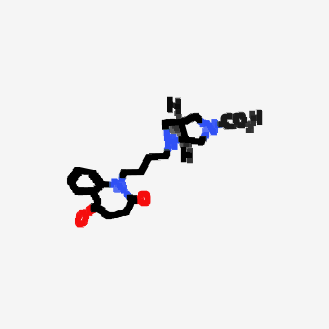 O=C1CCC(=O)N(CCCCN2C[C@H]3CN(C(=O)O)C[C@H]32)c2ccccc21